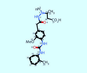 CCCN(NC(=O)Cc1ccc(NC(=O)Nc2ccccc2C)c(OC)c1)C(C)CC(=O)O